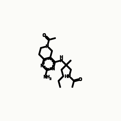 CCCCC(C)(CNC(C)=O)Nc1nc(N)nc2c1CN(C(C)=O)CC2